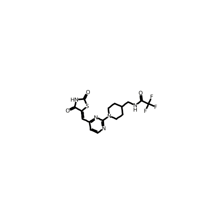 O=C1NC(=O)C(=Cc2ccnc(N3CCC(CNC(=O)C(F)(F)F)CC3)n2)S1